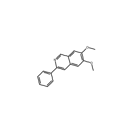 COc1cc2[c]nc(-c3ccccc3)cc2cc1OC